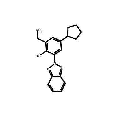 NCc1cc(C2CCCC2)cc(-n2nc3ccccc3n2)c1O